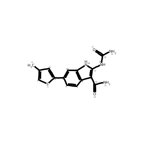 Cc1csc(-c2ccc3c(C(N)=O)c(NC(N)=O)[nH]c3c2)c1